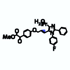 COC(=O)C(=O)c1ccc(OC/C=C/c2c(C(C)C)nc(-c3ccccc3)n2-c2ccc(F)cc2)cc1.O